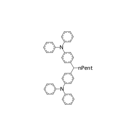 CCCCCC(c1ccc(N(c2ccccc2)c2ccccc2)cc1)c1ccc(N(c2ccccc2)c2ccccc2)cc1